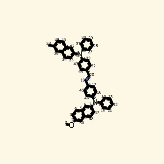 COc1ccc2cc(N(c3ccccc3)c3ccc(/C=C/c4ccc(N(c5ccccc5)c5ccc6cc(C)ccc6c5)cc4)cc3)ccc2c1